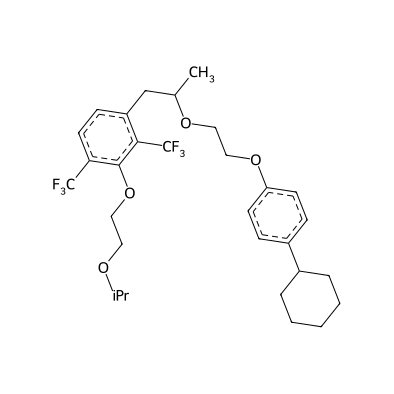 CC(C)OCCOc1c(C(F)(F)F)ccc(CC(C)OCCOc2ccc(C3CCCCC3)cc2)c1C(F)(F)F